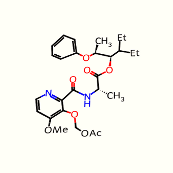 CCC(CC)[C@@H](OC(=O)[C@H](C)NC(=O)c1nccc(OC)c1OCOC(C)=O)[C@H](C)Oc1ccccc1